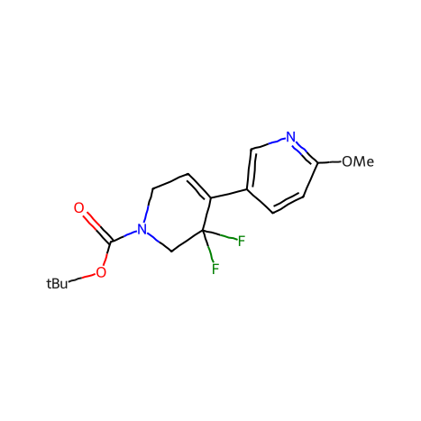 COc1ccc(C2=CCN(C(=O)OC(C)(C)C)CC2(F)F)cn1